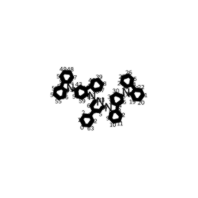 c1ccc(-c2cc(-n3c4ccccc4c4cc(-n5c6ccccc6c6ccccc65)ccc43)nc(-n3c4ccccc4c4cc(-n5c6ccccc6c6ccccc65)ccc43)c2)cc1